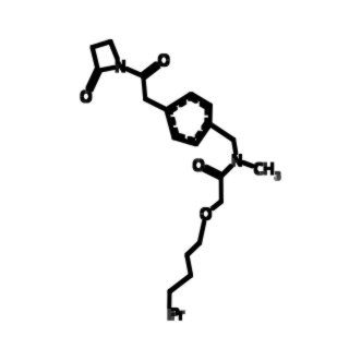 CC(C)CCCCOCC(=O)N(C)Cc1ccc(CC(=O)N2CCC2=O)cc1